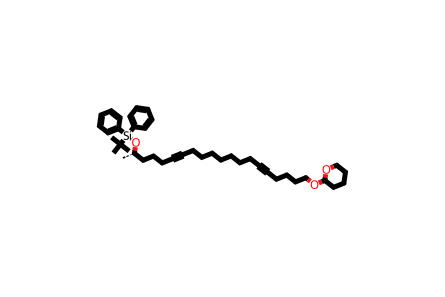 C[C@@H](CCCC#CCCCCCCCC#CCCCCOC1CCCCO1)O[Si](c1ccccc1)(c1ccccc1)C(C)(C)C